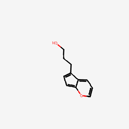 OCCCc1ccc2occcc1-2